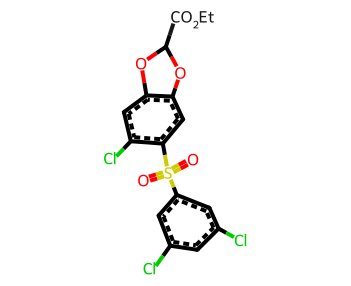 CCOC(=O)C1Oc2cc(Cl)c(S(=O)(=O)c3cc(Cl)cc(Cl)c3)cc2O1